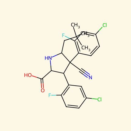 CC(C)(C)CC1NC(C(=O)O)C(c2cc(Cl)ccc2F)C1(C#N)c1ccc(Cl)cc1F